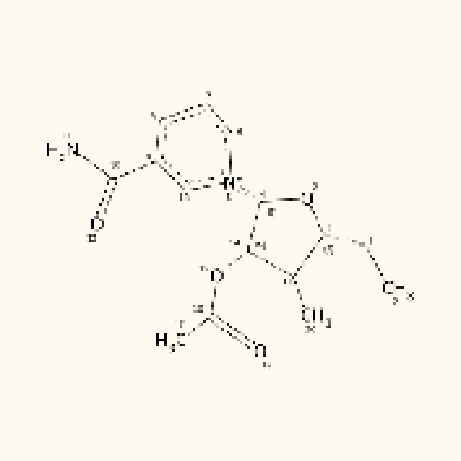 CC[C@H]1O[C@@H]([n+]2cccc(C(N)=O)c2)[C@@H](OC(C)=O)C1C